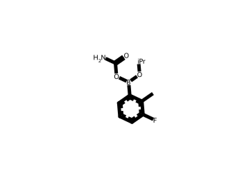 Cc1c(F)cccc1B(OC(N)=O)OC(C)C